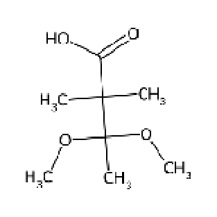 COC(C)(OC)C(C)(C)C(=O)O